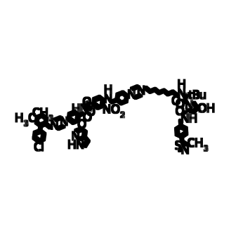 Cc1ncsc1-c1ccc(CNC(=O)[C@@H]2C[C@@H](O)CN2C(=O)[C@@H](NC(=O)CCCCCCCN2CCN(C3CCC(CNc4ccc(S(=O)(=O)NC(=O)c5ccc(N6CCN(CC7=C(c8ccc(Cl)cc8)CC(C)(C)CC7)CC6)cc5Oc5cnc6[nH]ccc6c5)cc4[N+](=O)[O-])CC3)CC2)C(C)(C)C)cc1